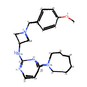 COc1ccc(CN2CC(Nc3nccc(N4CCCCCC4)n3)C2)cc1